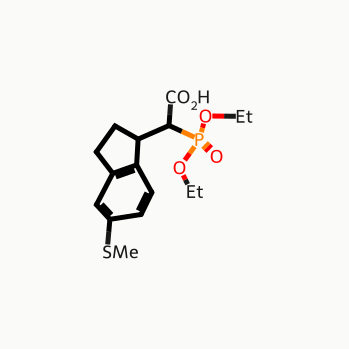 CCOP(=O)(OCC)C(C(=O)O)C1CCc2cc(SC)ccc21